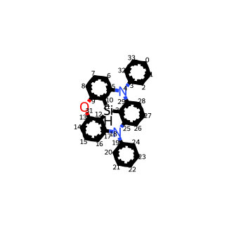 c1ccc(N2c3cccc4c3[SiH]3c5c(cccc5N(c5ccccc5)c5cccc2c53)O4)cc1